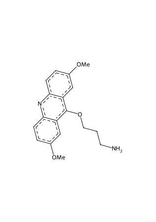 COc1ccc2nc3ccc(OC)cc3c(OCCCN)c2c1